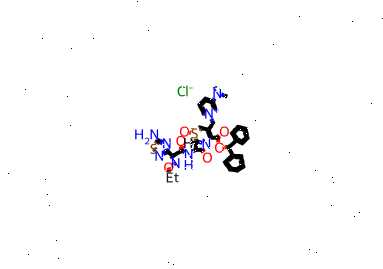 CCON=C(C(=O)NC1C(=O)N2C(C(=O)OC(c3ccccc3)c3ccccc3)=C(C[n+]3cccc(N(C)C)c3)C[S+]([O-])[C@@H]12)c1nsc(N)n1.[Cl-]